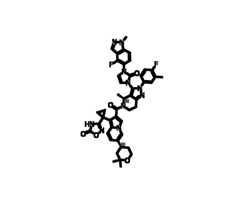 Cc1cc(-n2nc3c(c2-n2ccn(-c4ccc5c(cnn5C)c4F)c2=O)[C@H](C)N(C(=O)c2cn4cc([C@H]5CCOC(C)(C)C5)ccc4c2C2(c4noc(=O)[nH]4)CC2)CC3)ccc1F